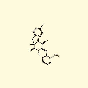 CN1C(=O)C(C)(Cc2ccc(F)cc2)NC(=O)C1=Cc1ccccc1[N+](=O)[O-]